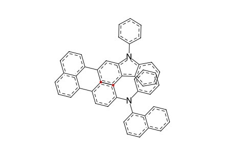 c1ccc(N(c2ccc(-c3cccc4cccc(-c5ccc6c7ccccc7n(-c7ccccc7)c6c5)c34)cc2)c2cccc3ccccc23)cc1